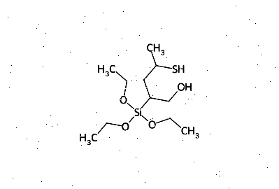 CCO[Si](OCC)(OCC)C(CO)CC(C)S